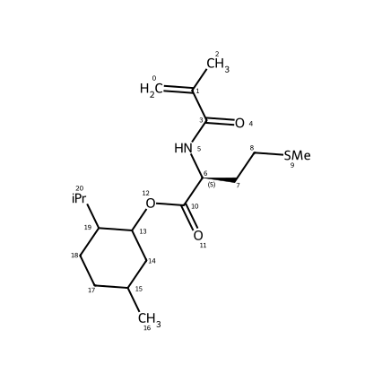 C=C(C)C(=O)N[C@@H](CCSC)C(=O)OC1CC(C)CCC1C(C)C